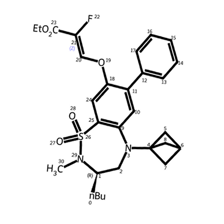 CCCC[C@@H]1CN(C23CC(C2)C3)c2cc(-c3ccccc3)c(O/C=C(\F)C(=O)OCC)cc2S(=O)(=O)N1C